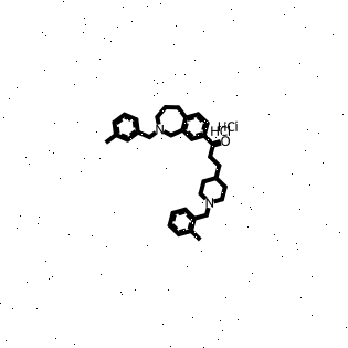 Cc1cccc(CN2CCCc3ccc(C(=O)CCC4CCN(Cc5ccccc5C)CC4)cc3C2)c1.Cl.Cl